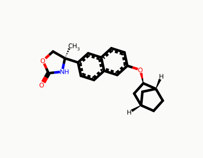 C[C@@]1(c2ccc3cc(O[C@@H]4C[C@H]5CC[C@@H]4C5)ccc3c2)COC(=O)N1